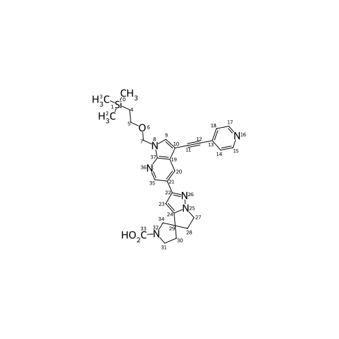 C[Si](C)(C)CCOCn1cc(C#Cc2ccncc2)c2cc(-c3cc4n(n3)CCC43CCN(C(=O)O)C3)cnc21